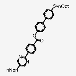 CCCCCCCCCc1cnc(-c2ccc(C(=O)Oc3ccc(-c4ccc(SCCCCCCCC)cc4)cc3)cc2)nc1